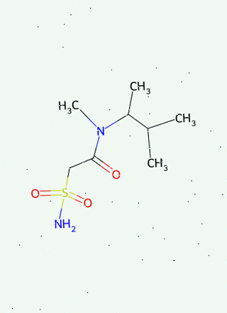 CC(C)C(C)N(C)C(=O)CS(N)(=O)=O